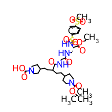 CCOC(=O)[C@H](CNC(=O)CNC(=O)C(CCC1CCN(C(=O)O)CC1)CCC1CCN(C(=O)OC(C)(C)C)CC1)NS(=O)(=O)c1ccc(S(C)(=O)=O)cc1